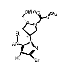 CCNc1c(C#N)c(Br)nn1[C@H]1C[C@H](COC)N(C(=O)OC(C)(C)C)C1